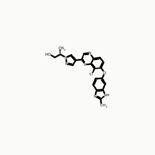 Cc1nc2ccc(Oc3ccc4ncc(-c5cnn([C@H](C)CO)c5)nc4c3Cl)cc2[nH]1